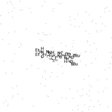 CCC(CC)NC(=O)c1cc(-c2cccc(-c3ncc(C(=O)N[C@@H](COC(C)(C)C)C(=O)OC(C)(C)C)o3)c2)[nH]n1